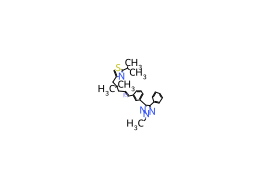 CCn1nc(-c2ccccc2)c(-c2cccc(/C=C/CC(C)(C)Cc3csc(C(C)C)n3)c2)n1